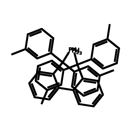 Cc1cccc(C(P)(c2cccc(C)c2)c2ccccc2-c2ccccc2C(P)(c2cccc(C)c2)c2cccc(C)c2)c1